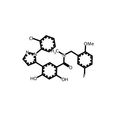 COc1ccc(F)cc1CN(C)C(=O)c1cc(-c2ccnn2-c2ccccc2Cl)c(O)cc1O